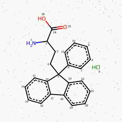 Cl.NC(CCC1(c2ccccc2)c2ccccc2-c2ccccc21)C(=O)O